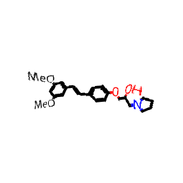 COc1cc(/C=C/c2ccc(OCC(O)CN3CCCC3)cc2)cc(OC)c1